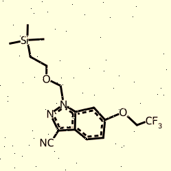 C[Si](C)(C)CCOCn1nc(C#N)c2ccc(OCC(F)(F)F)cc21